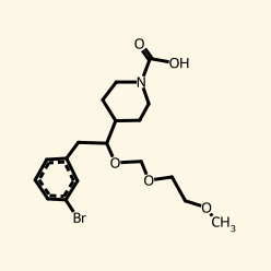 COCCOCOC(Cc1cccc(Br)c1)C1CCN(C(=O)O)CC1